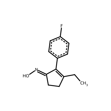 CCC1=C(c2ccc(F)cc2)C(=NO)CC1